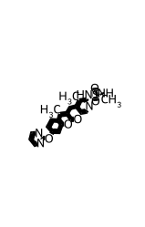 CNS(=O)(=O)Nc1nccc(Cc2c(C)c3ccc(Oc4ncccn4)cc3oc2=O)c1C